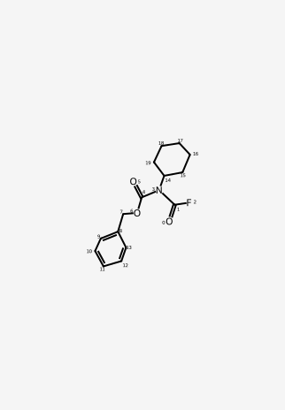 O=C(F)N(C(=O)OCc1ccccc1)C1CCCCC1